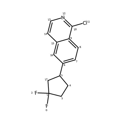 FC1(F)CCC(c2ccc3c(Cl)nccc3c2)C1